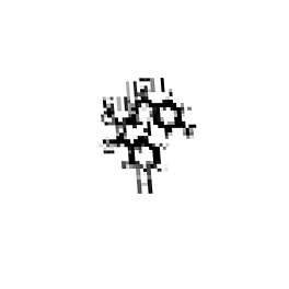 COn1c(N[C@@H](C)c2ccc(Cl)cc2)nc2c(c1=O)CNCC2